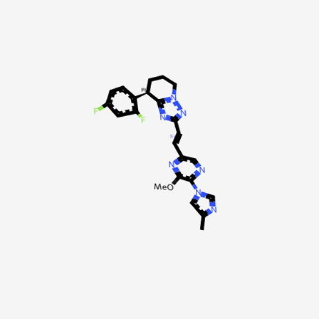 COc1nc(/C=C/c2nc3n(n2)CCC[C@@H]3c2ccc(F)cc2F)cnc1-n1cnc(C)c1